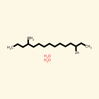 CCC[CH]([AlH2])CCCCCCCC[CH]([Zn])CC.O.O